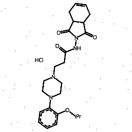 CC(C)Oc1ccccc1N1CCN(CCC(=O)NN2C(=O)C3CC=CCC3C2=O)CC1.Cl